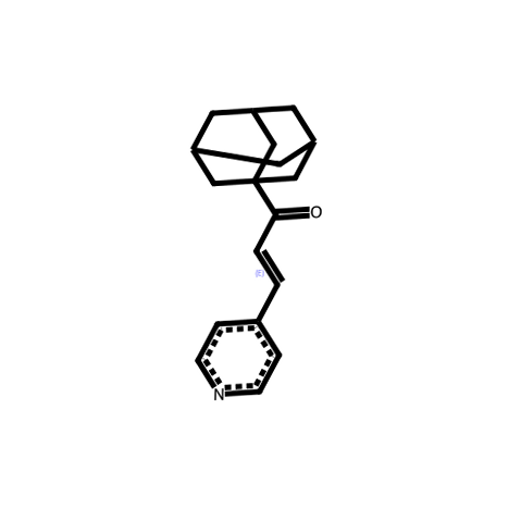 O=C(/C=C/c1ccncc1)C12CC3CC(CC(C3)C1)C2